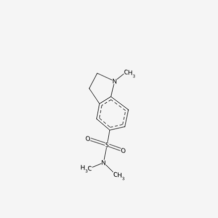 CN1CCc2cc(S(=O)(=O)N(C)C)ccc21